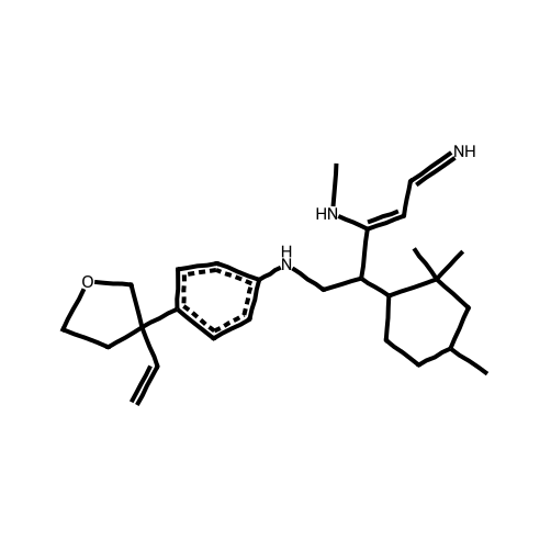 C=CC1(c2ccc(NCC(/C(=C/C=N)NC)C3CCC(C)CC3(C)C)cc2)CCOC1